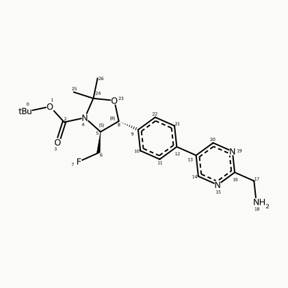 CC(C)(C)OC(=O)N1[C@H](CF)[C@@H](c2ccc(-c3cnc(CN)nc3)cc2)OC1(C)C